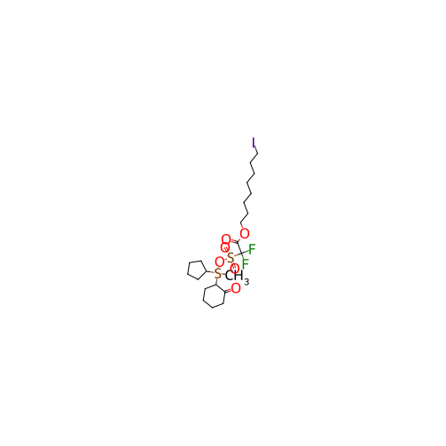 CS(OS(=O)(=O)C(F)(F)C(=O)OCCCCCCCCI)(C1CCCC1)C1CCCCC1=O